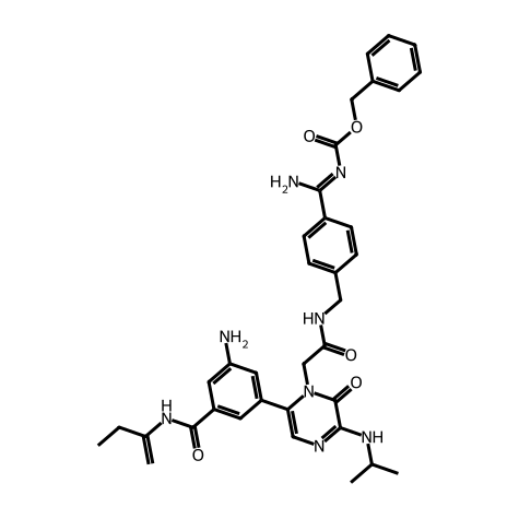 C=C(CC)NC(=O)c1cc(N)cc(-c2cnc(NC(C)C)c(=O)n2CC(=O)NCc2ccc(/C(N)=N/C(=O)OCc3ccccc3)cc2)c1